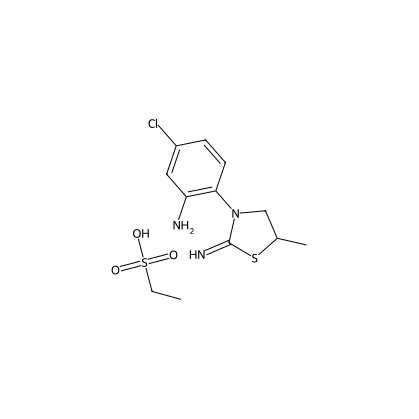 CC1CN(c2ccc(Cl)cc2N)C(=N)S1.CCS(=O)(=O)O